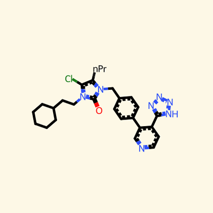 CCCc1c(Cl)n(CCC2CCCCC2)c(=O)n1Cc1ccc(-c2cnccc2-c2nnn[nH]2)cc1